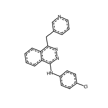 Clc1ccc(Nc2nnc(Cc3cccnc3)c3ccccc23)cc1